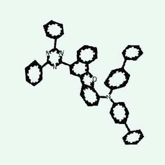 c1ccc(-c2ccc(N(c3ccc(-c4ccccc4)cc3)c3cccc4c3oc3c5ccccc5c(-c5nc(-c6ccccc6)nc(-c6ccccc6)n5)cc43)cc2)cc1